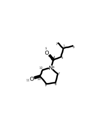 CC(C)CC(=O)N1CCCC(=O)C1